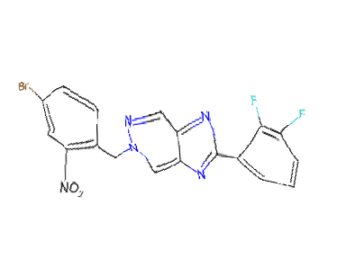 O=[N+]([O-])c1cc(Br)ccc1Cn1cc2nc(-c3cccc(F)c3F)nc-2cn1